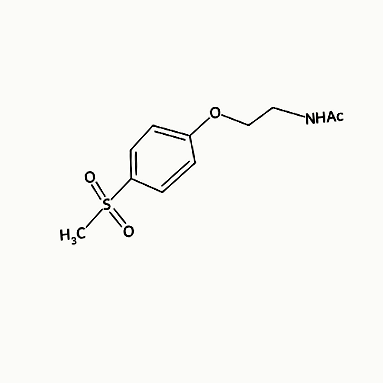 CC(=O)NCCOc1ccc(S(C)(=O)=O)cc1